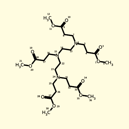 COC(=O)CCN(CCC(=O)OC)CCN(CCC(=O)OC)CCN(CCC(=O)OC)CCC(=O)OC